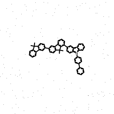 CC1(C)c2ccccc2-c2cc(-c3ccc4c(c3)-c3cccc(-c5ccc6c(c5)c5ccccc5n6-c5ccc(-c6ccccc6)cc5)c3C4(C)C)ccc21